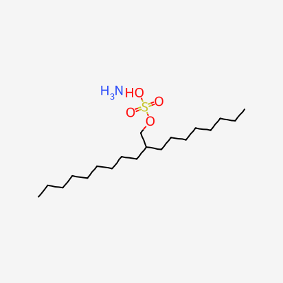 CCCCCCCCCC(CCCCCCCC)COS(=O)(=O)O.N